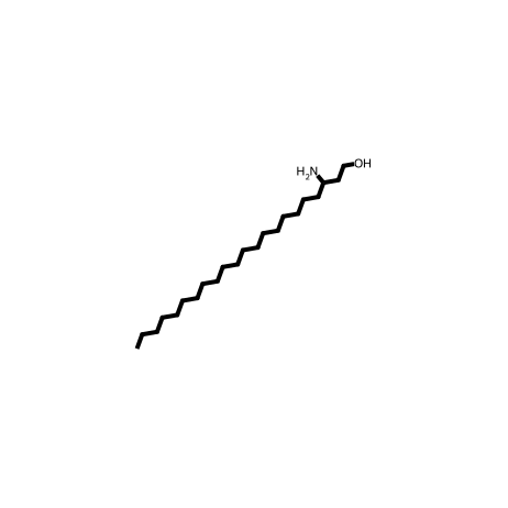 CCCCCCCCCCCCCCCCCCCC(N)CCO